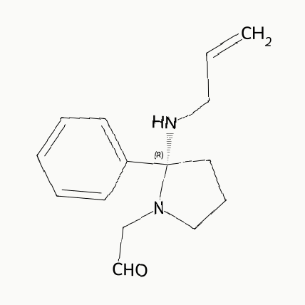 C=CCN[C@]1(c2ccccc2)CCCN1CC=O